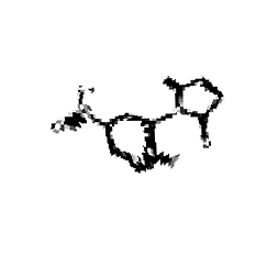 O=C1C=CC(=O)N1c1cc([N+](=O)O)ccc1F